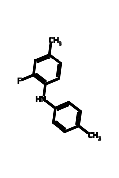 Cc1ccc(Nc2ccc(C)cc2F)cc1